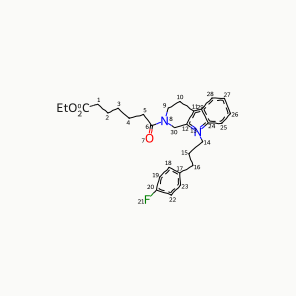 CCOC(=O)CCCCCC(=O)N1CCc2c(n(CCCc3ccc(F)cc3)c3ccccc23)C1